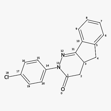 O=C1CC2Cc3ccccc3C2=NN1c1ccc(Cl)cc1